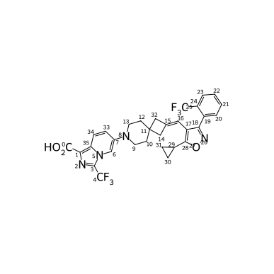 O=C(O)c1nc(C(F)(F)F)n2cc(N3CCC4(CC3)CC(=Cc3c(-c5ccccc5C(F)(F)F)noc3C3CC3)C4)ccc12